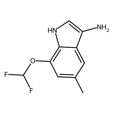 Cc1cc(OC(F)F)c2[nH]cc(N)c2c1